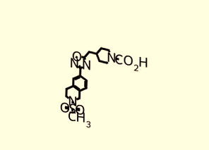 CS(=O)(=O)N1CCc2cc(-c3noc(CC4CCN(C(=O)O)CC4)n3)ccc2C1